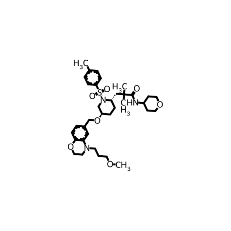 COCCCN1CCOc2ccc(CO[C@@H]3CC[C@@H](CC(C)(C)C(=O)NC4CCOCC4)N(S(=O)(=O)c4ccc(C)cc4)C3)cc21